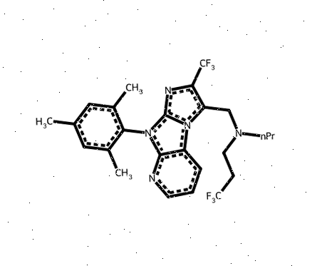 CCCN(CCC(F)(F)F)Cc1c(C(F)(F)F)nc2n(-c3c(C)cc(C)cc3C)c3ncccc3n12